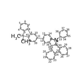 CC1(C)c2ccccc2-c2cc(-c3ccc4c(c3)c3c5ccccc5c5ccccc5c3n4-c3ccccc3)ccc21